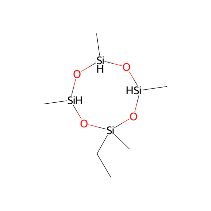 CC[Si]1(C)O[SiH](C)O[SiH](C)O[SiH](C)O1